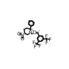 C[C@@H](OC[C@@]1(c2ccccc2)CCC([N+](=O)[O-])CN1C)c1cc(C(F)(F)F)cc(C(F)(F)F)c1